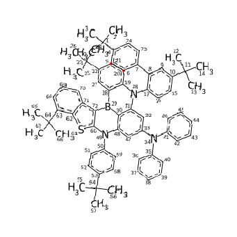 CC(C)(C)c1ccc(-c2cc(C(C)(C)C)ccc2N2c3ccc(C(C)(C)C)cc3B3c4c2cc(N(c2ccccc2)c2ccccc2)cc4N(c2ccc(C(C)(C)C)cc2)c2sc4c(C(C)(C)C)cccc4c23)cc1